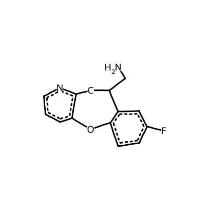 NCC1Cc2ncccc2Oc2ccc(F)cc21